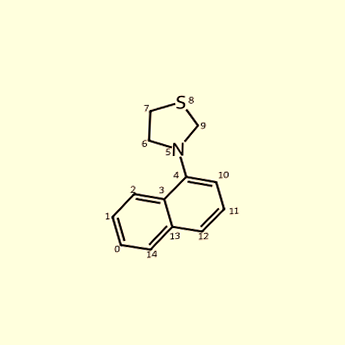 c1ccc2c(N3CCSC3)cccc2c1